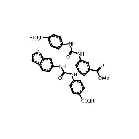 CCOC(=O)c1ccc(NC(=O)Nc2ccc3cc[nH]c3c2)cc1.CCOC(=O)c1ccc(NC(=O)Nc2cccc(C(=O)OC)c2)cc1